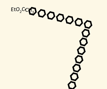 C1CCCCC1.C1CCCCC1.C1CCCCC1.C1CCCCC1.C1CCCCC1.C1CCCCC1.C1CCCCC1.C1CCCCC1.C1CCCCC1.C1CCCCC1.C1CCCCC1.C1CCCCC1.C1CCCCC1.C1CCCCC1.CCOC(C)=O